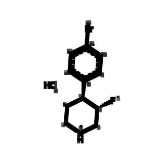 Cl.F[C@@H]1CNCC[C@H]1c1ccc(Br)cc1